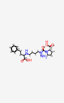 NN(CCCCNC(CCc1ccccc1)C(=O)O)C(=O)N1CCC[C@H]1C(=O)O